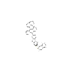 CC1(C)c2cc(-c3c4ccccc4c(-c4cccc5ccccc45)c4ccccc34)ccc2-c2cc3c(cc21)sc1ccc2ccccc2c13